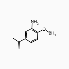 BOc1ccc(C(=C)C)cc1N